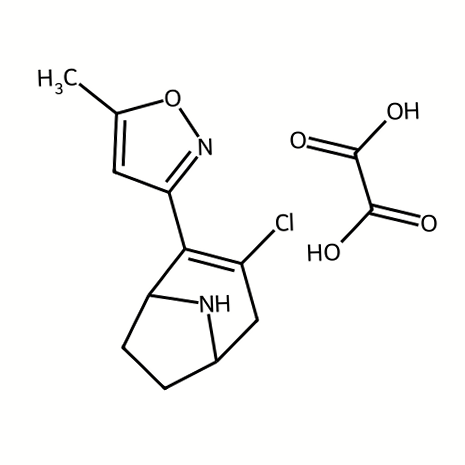 Cc1cc(C2=C(Cl)CC3CCC2N3)no1.O=C(O)C(=O)O